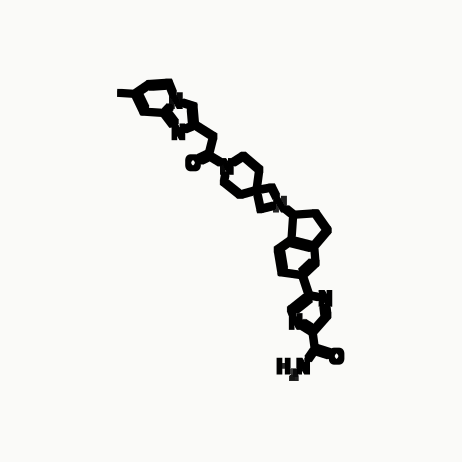 Cc1ccn2cc(CC(=O)N3CCC4(CC3)CN(C3CCc5cc(-c6cnc(C(N)=O)cn6)ccc53)C4)nc2c1